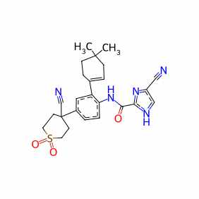 CC1(C)CC=C(c2cc(C3(C#N)CCS(=O)(=O)CC3)ccc2NC(=O)c2nc(C#N)c[nH]2)CC1